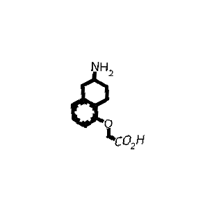 NC1CCc2c(cccc2OCC(=O)O)C1